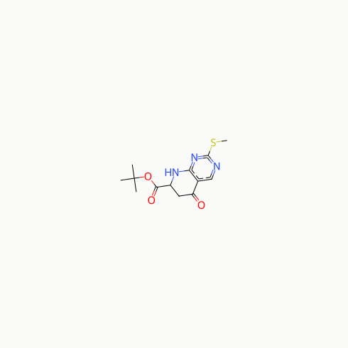 CSc1ncc2c(n1)NC(C(=O)OC(C)(C)C)CC2=O